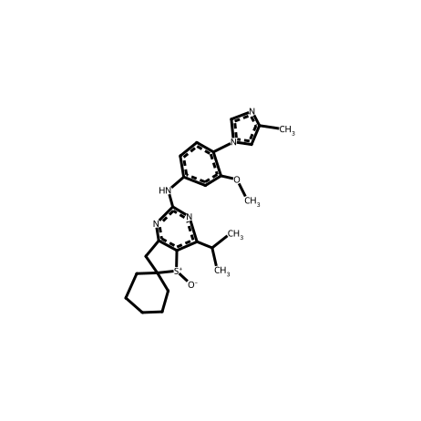 COc1cc(Nc2nc3c(c(C(C)C)n2)[S+]([O-])C2(CCCCC2)C3)ccc1-n1cnc(C)c1